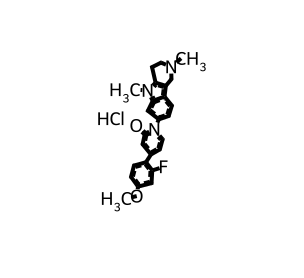 COc1ccc(-c2ccn(-c3ccc4c5c(n(C)c4c3)CCN(C)C5)c(=O)c2)c(F)c1.Cl